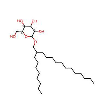 CCCCCCCCCCCCC(CCCCCCCC)COC1O[C@H](CO)[C@@H](O)C(O)[C@@H]1O